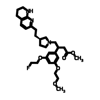 COCCOc1cc(OCCF)cc(C(CC(=O)OC)CN2CC[C@@H](CCc3ccc4c(n3)NCCC4)C2)c1